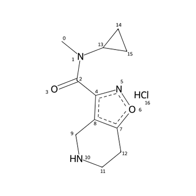 CN(C(=O)c1noc2c1CNCC2)C1CC1.Cl